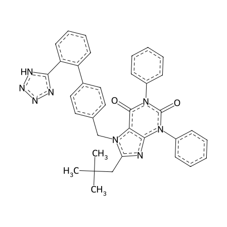 CC(C)(C)Cc1nc2c(c(=O)n(-c3ccccc3)c(=O)n2-c2ccccc2)n1Cc1ccc(-c2ccccc2-c2nnn[nH]2)cc1